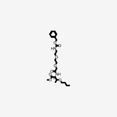 CCCCOC(C)[C@@H](NC(=O)COCCOCCNC(=O)OCc1ccccc1)C(=O)OC